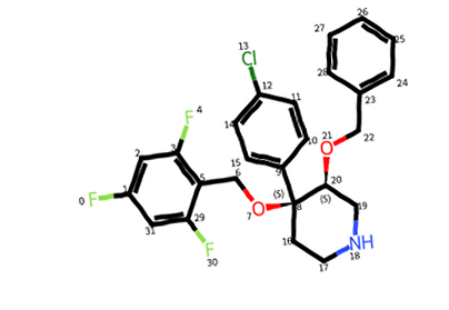 Fc1cc(F)c(CO[C@]2(c3ccc(Cl)cc3)CCNC[C@@H]2OCc2ccccc2)c(F)c1